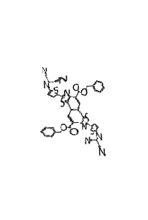 N#CC(C#N)=Nc1ccc(-c2nc3c(s2)C2C=C(C(=O)OCc4ccccc4)c4nc(-c5ccc(N=C(C#N)C#N)s5)sc4C2C=C3C(=O)OCc2ccccc2)s1